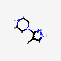 Cc1c[nH]nc1N1CCNCC1